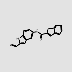 O=Cc1cc2cc(NC(=O)c3cc4ccccc4o3)ccc2[nH]1